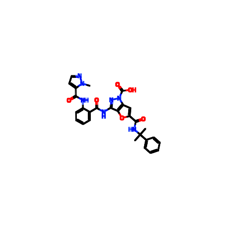 Cn1nccc1C(=O)Nc1ccccc1C(=O)Nc1nn(C(=O)O)c2cc(C(=O)NC(C)(C)c3ccccc3)oc12